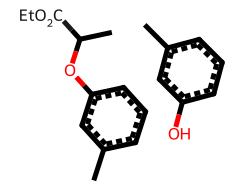 CCOC(=O)C(C)Oc1cccc(C)c1.Cc1cccc(O)c1